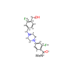 CNC(=O)c1ccc(N2CCN(Cc3ccc(CO)c(F)c3)CC2)cc1F